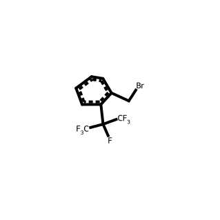 FC(F)(F)C(F)(c1ccccc1CBr)C(F)(F)F